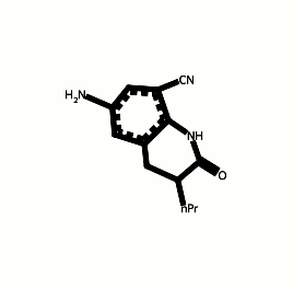 CCCC1Cc2cc(N)cc(C#N)c2NC1=O